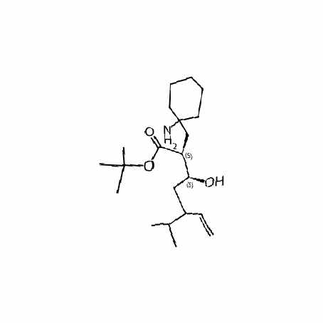 C=CC(C[C@H](O)[C@H](CC1(N)CCCCC1)C(=O)OC(C)(C)C)C(C)C